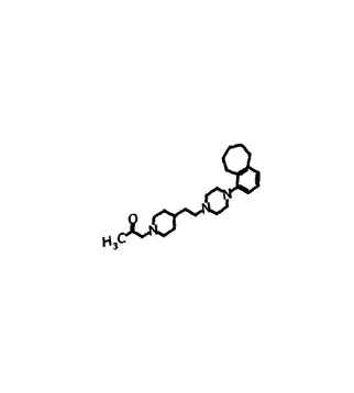 CC(=O)CN1CCC(CCN2CCN(c3cccc4c3CCCCC4)CC2)CC1